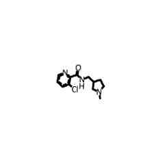 CN1CCC(CNC(=O)c2ncccc2Cl)C1